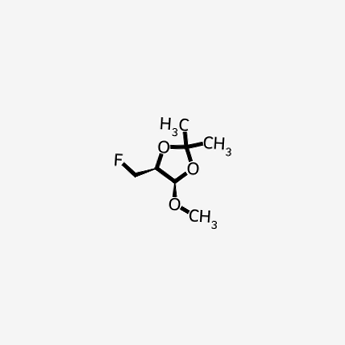 CO[C@@H]1OC(C)(C)O[C@@H]1CF